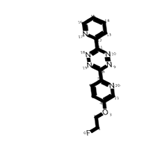 FCCOc1ccc(-c2nnc(-c3ccccn3)nn2)nc1